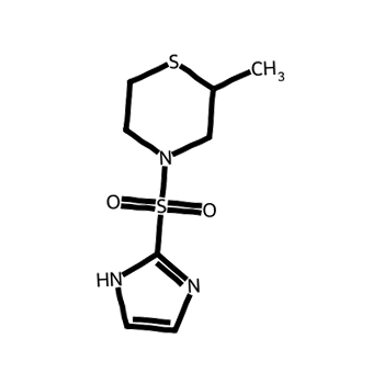 CC1CN(S(=O)(=O)c2ncc[nH]2)CCS1